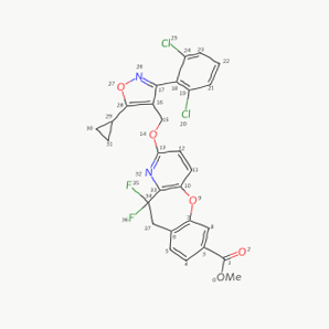 COC(=O)c1ccc2c(c1)Oc1ccc(OCc3c(-c4c(Cl)cccc4Cl)noc3C3CC3)nc1C(F)(F)C2